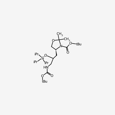 CC(C)[Si](OC(CNC(=O)OC(C)(C)C)C[C@H]1COC(C)(C)N1C(=O)OC(C)(C)C)(C(C)C)C(C)C